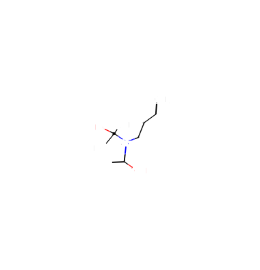 CCCCN(C(C)O)C(C)(C)O